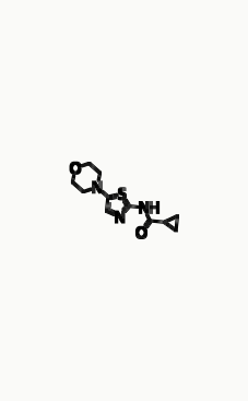 O=C(Nc1ncc(N2CCOCC2)s1)C1CC1